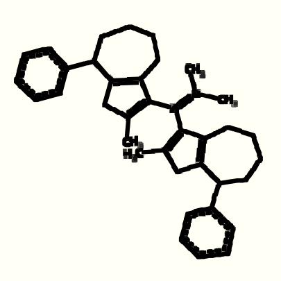 CC1=[C]([Zr]([C]2=C(C)CC3=C2CCCCC3c2ccccc2)=[Si](C)C)C2=C(C1)C(c1ccccc1)CCCC2